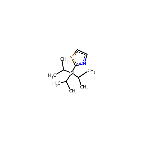 CC(C)[Si](c1nccs1)(C(C)C)C(C)C